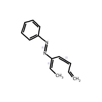 C=C\C=C/C(=C\C)/N=N/c1ccccc1